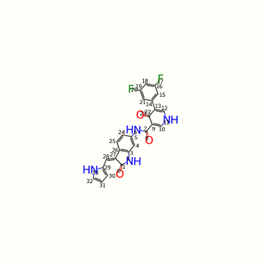 O=C1Nc2cc(NC(=O)c3c[nH]cc(-c4cc(F)cc(F)c4)c3=O)ccc2C1=Cc1ccc[nH]1